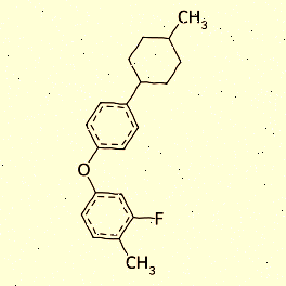 Cc1ccc(Oc2ccc(C3CCC(C)CC3)cc2)cc1F